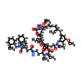 COc1cc2cc(c1Cl)N(C)C(=O)C[C@H](OC(=O)[C@@H](C)N(C)C(=O)CCNC(=O)CCC(=O)N(Cc1ccccc1C)c1ccccc1C)[C@]1(C)O[C@H]1[C@H](C)[C@@H]1C[C@@](O)(NC(=O)O1)[C@H](OC)/C=C/C=C(\C)C2